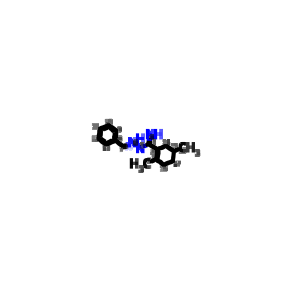 CC1=C(C(=N)N/N=C/c2ccccc2)CC(C)CC1